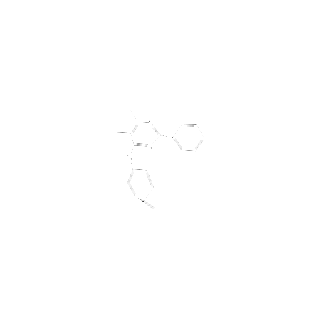 C=C1C=C=C(Nc2nc(-c3ccccc3)nc(C)c2C)C=C1C